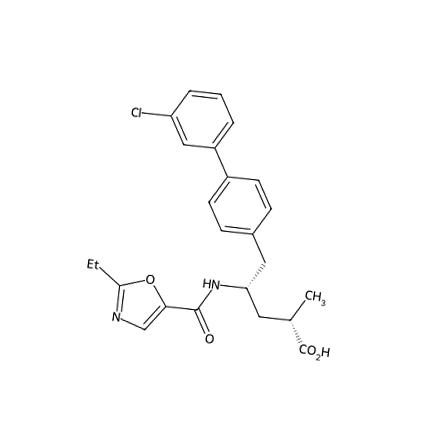 CCc1ncc(C(=O)N[C@H](Cc2ccc(-c3cccc(Cl)c3)cc2)C[C@H](C)C(=O)O)o1